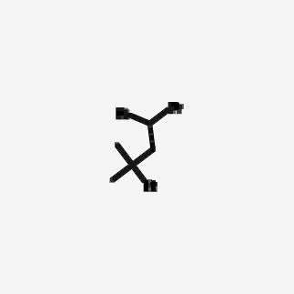 [CH2]C(C)C(CC)CC(C)(C)CC